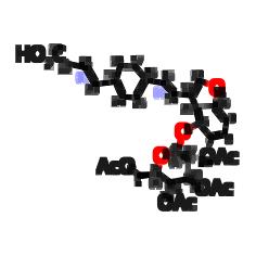 CC(=O)OC[C@H]1O[C@@H](Oc2cccc3occ(/C=C/c4ccc(/C=C/CC(=O)O)cc4)c23)[C@H](OC(C)=O)[C@@H](OC(C)=O)[C@@H]1OC(C)=O